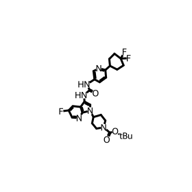 CC(C)(C)OC(=O)N1CCC(n2cc(NC(=O)Nc3ccc(C4CCC(F)(F)CC4)nc3)c3cc(F)cnc32)CC1